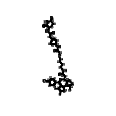 Cc1sc2c(c1C)C(c1ccc(Cl)cc1)=N[C@@H](CC(=O)NCCCCCCC(=O)Nc1ccc(CC(=O)NC3CCC(=O)NC3=O)cc1)c1nnc(C)n1-2